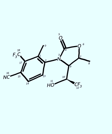 Cc1c(N2C(=O)OC(C)C2[C@H](O)C(F)(F)F)ccc(C#N)c1C(F)(F)F